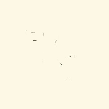 C#C[C@@]1(O)CC[C@@]2(C)[C@H](CC[C@H]3[C@@H]4CC[C@H](C(C)=O)[C@@]4(C)CC(=O)[C@@H]32)C1